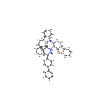 c1ccc(-c2ccc(-c3nc(-c4c(-n5c6ccccc6c6ccccc65)ccc5c4oc4ccccc45)nc4ccccc34)cc2)cc1